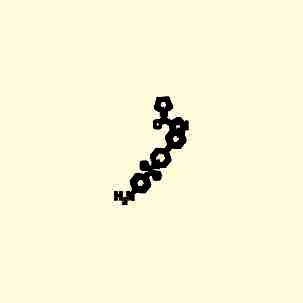 Nc1ccc(S(=O)(=O)N2CCC(c3ccn4ncc(C(=O)N5CCCC5)c4c3)CC2)cc1